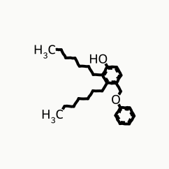 CCCCCCCc1c(O)ccc(COc2ccccc2)c1CCCCCCC